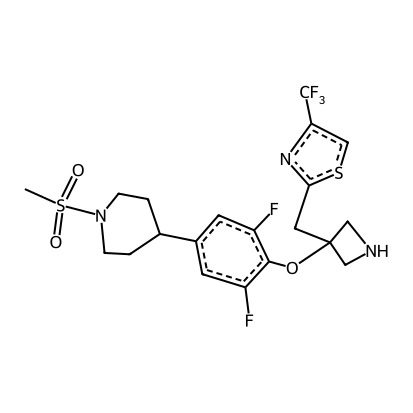 CS(=O)(=O)N1CCC(c2cc(F)c(OC3(Cc4nc(C(F)(F)F)cs4)CNC3)c(F)c2)CC1